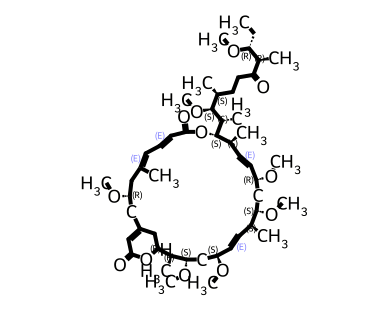 CC[C@@H](OC)[C@@H](C)C(=O)CC[C@H](C)[C@H](OC)[C@H](C)[C@H]1OC(=O)/C=C/C=C(\C)C[C@@H](OC)CC2=CC(=O)O[C@H](C2)[C@H](C)[C@@H](OC)C[C@H](OC)/C=C/[C@H](C)[C@@H](OC)C[C@@H](OC)/C=C/[C@@H]1C